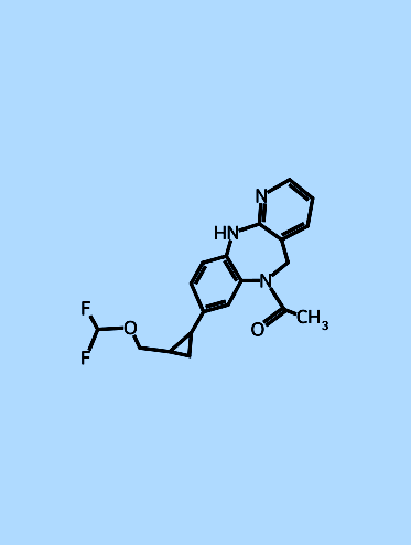 CC(=O)N1Cc2cccnc2Nc2ccc(C3CC3COC(F)F)cc21